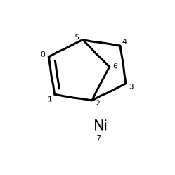 C1=CC2CCC1C2.[Ni]